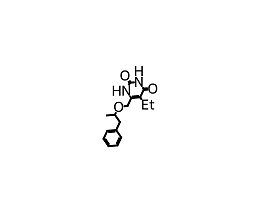 CCc1c(COC(C)Cc2ccccc2)[nH]c(=O)[nH]c1=O